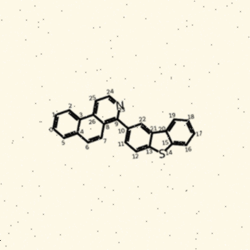 c1ccc2c(c1)ccc1c(-c3ccc4sc5ccccc5c4c3)nccc12